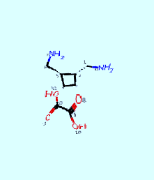 NC[C@@H]1CC[C@H]1CN.O=C(O)C(=O)O